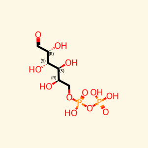 O=C[C@H](O)[C@@H](O)[C@@H](O)[C@H](O)COP(=O)(O)OP(=O)(O)O